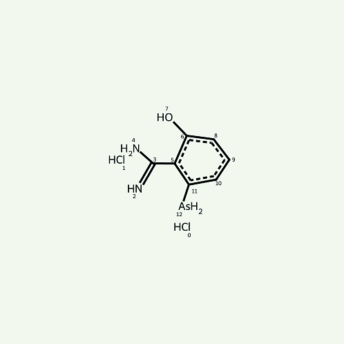 Cl.Cl.N=C(N)c1c(O)cccc1[AsH2]